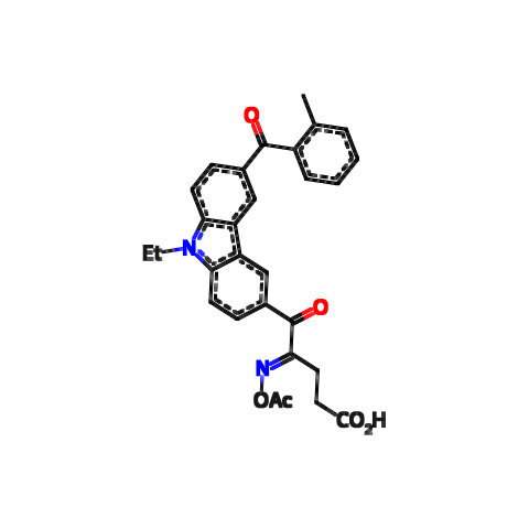 CCn1c2ccc(C(=O)C(CCC(=O)O)=NOC(C)=O)cc2c2cc(C(=O)c3ccccc3C)ccc21